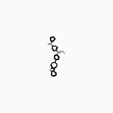 CN(C1=CCC(Nc2ccccc2)C=C1)c1ccc(C2CC=c3sc4ccccc4c3=CC2)cc1